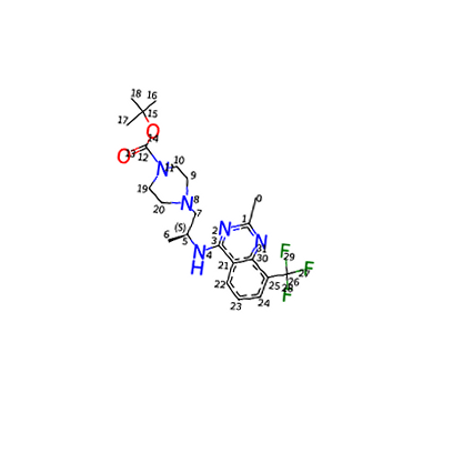 Cc1nc(N[C@@H](C)CN2CCN(C(=O)OC(C)(C)C)CC2)c2cccc(C(F)(F)F)c2n1